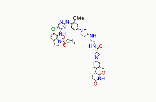 COc1cc(N2CCC(NCCNC(=O)C3CN(c4ccc(C5CCC(=O)NC5=O)c(F)c4)C3)CC2)ccc1Nc1ncc(Cl)c(Nc2cccc3c2N(S(C)(=O)=O)CC3)n1